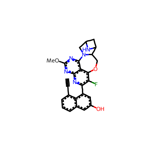 C#Cc1cccc2cc(O)cc(-c3nc4nc(OC)nc5c4c(c3F)OCC3C4CC(CN53)N4)c12